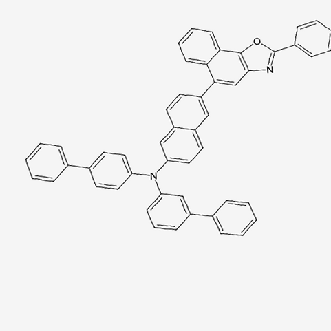 c1ccc(-c2ccc(N(c3cccc(-c4ccccc4)c3)c3ccc4cc(-c5cc6nc(-c7ccccc7)oc6c6ccccc56)ccc4c3)cc2)cc1